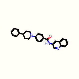 O=C(Nc1cnc2ccccc2c1)c1ccc(N2CCC(c3ccccc3)CC2)cc1